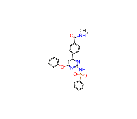 CNC(=O)c1ccc(-c2cc(Oc3ccccc3)nc(NS(=O)(=O)c3ccccc3)n2)cc1